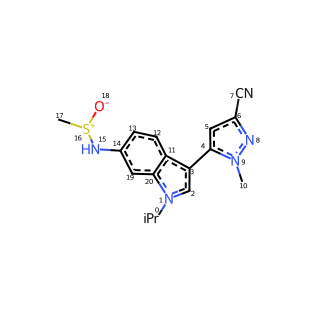 CC(C)n1cc(-c2cc(C#N)nn2C)c2ccc(N[S+](C)[O-])cc21